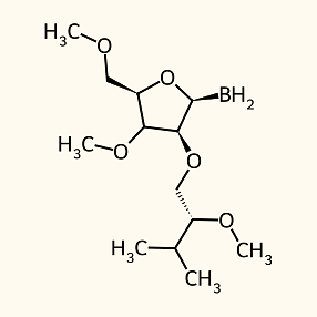 B[C@@H]1O[C@H](COC)C(OC)[C@@H]1OC[C@H](OC)C(C)C